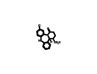 O=C(O)[C@@H]1CCC(=O)N2c3cc(Cl)ccc3Nc3ccccc3[C@@H]12